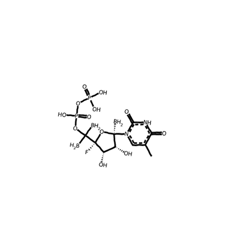 BC(B)(OP(=O)(O)OP(=O)(O)O)[C@@]1(F)O[C@@](B)(n2cc(C)c(=O)[nH]c2=O)[C@H](O)[C@@H]1O